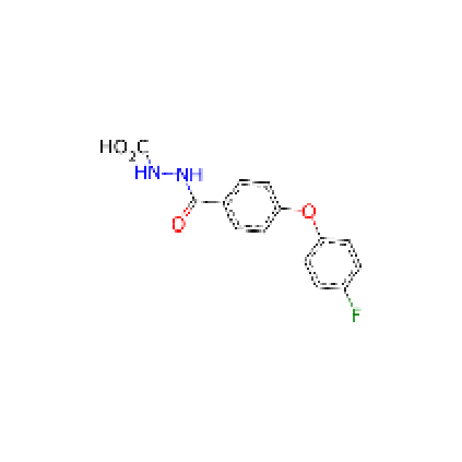 O=C(O)NNC(=O)c1ccc(Oc2ccc(F)cc2)cc1